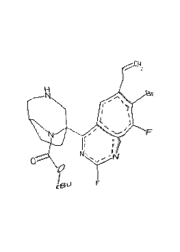 C=Cc1cc2c(C34CCC(CNC3)N4C(=O)OC(C)(C)C)nc(F)nc2c(F)c1Br